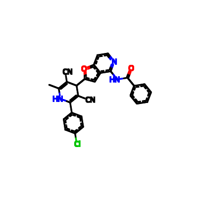 CC1=C(C#N)C(c2cc3c(NC(=O)c4ccccc4)nccc3o2)C(C#N)=C(c2ccc(Cl)cc2)N1